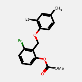 CCc1cc(C)ccc1OCc1c(Br)cccc1OC(=O)OC